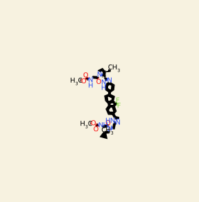 CC[C@@H]1CCN(C(=O)CNC(=O)OC)[C@@H]1c1nc2ccc(-c3ccc4c(c3)C(F)(F)c3cc(-c5cnc(CN(CC6(C)CC6)C(=O)CNC(=O)OC)[nH]5)ccc3-4)cc2[nH]1